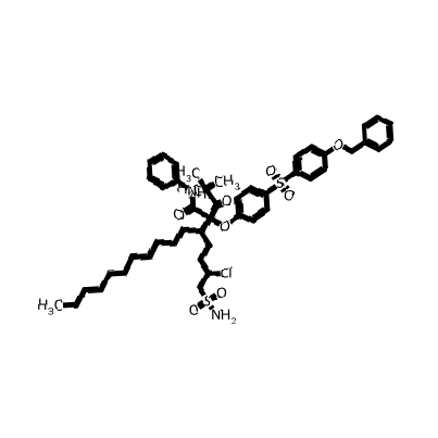 CCCCCCCCCCCC(CCC(Cl)CS(N)(=O)=O)C(Oc1ccc(S(=O)(=O)c2ccc(OCc3ccccc3)cc2)cc1)(C(=O)Nc1ccccc1)C(=O)C(C)(C)C